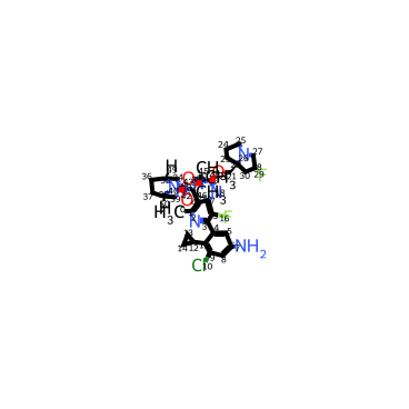 Cc1nc(-c2cc(N)cc(Cl)c2C2CC2)c(F)c2nc(OC[C@@]34CCCN3C[C@H](F)C4)nc(N3C[C@H]4CC[C@@H](C3)N4C(=O)OC(C)(C)C)c12